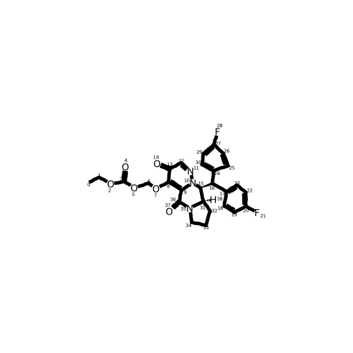 CCOC(=O)OCOc1c2n(ncc1=O)[C@@H](C(c1ccc(F)cc1)c1ccc(F)cc1)[C@H]1CCCN1C2=O